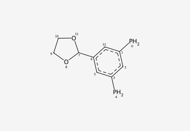 Pc1cc(P)cc(C2OCCO2)c1